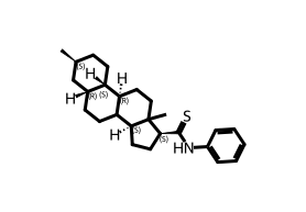 C[C@H]1CC[C@H]2[C@H](CCC3[C@@H]2CCC2(C)[C@@H](C(=S)Nc4ccccc4)CC[C@@H]32)C1